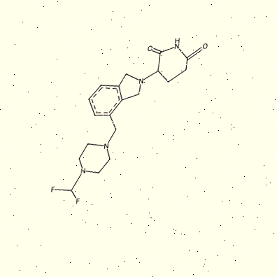 O=C1CCC(N2Cc3cccc(CN4CCN(C(F)F)CC4)c3C2)C(=O)N1